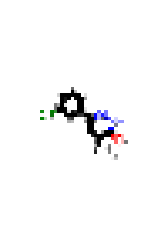 Cc1cc(-c2cccc(Cl)c2)n[nH]c1=O